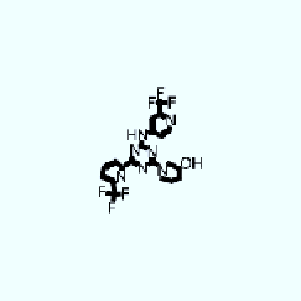 O[C@@H]1CCCN(c2nc(Nc3ccnc(C(F)(F)F)c3)nc(-c3cccc(C(F)(F)F)n3)n2)C1